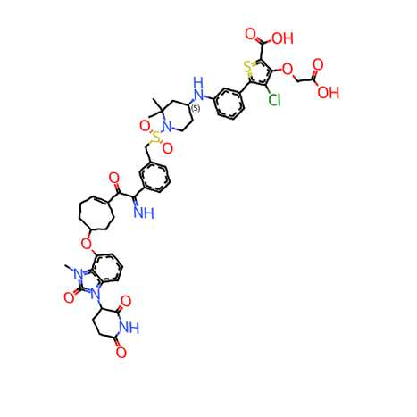 Cn1c(=O)n(C2CCC(=O)NC2=O)c2cccc(OC3CCC=C(C(=O)C(=N)c4cccc(CS(=O)(=O)N5CC[C@H](Nc6cccc(-c7sc(C(=O)O)c(OCC(=O)O)c7Cl)c6)CC5(C)C)c4)CC3)c21